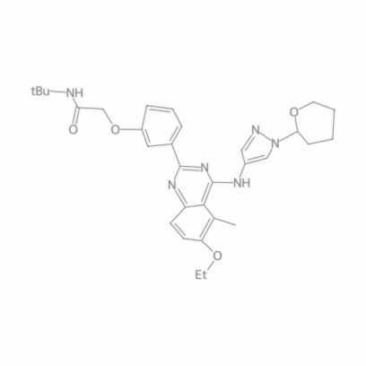 CCOc1ccc2nc(-c3cccc(OCC(=O)NC(C)(C)C)c3)nc(Nc3cnn(C4CCCCO4)c3)c2c1C